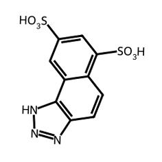 O=S(=O)(O)c1cc(S(=O)(=O)O)c2ccc3nn[nH]c3c2c1